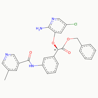 Cc1cncc(C(=O)Nc2cccc([C@@H](Oc3cc(Cl)cnc3N)C(=O)OCc3ccccc3)c2)c1